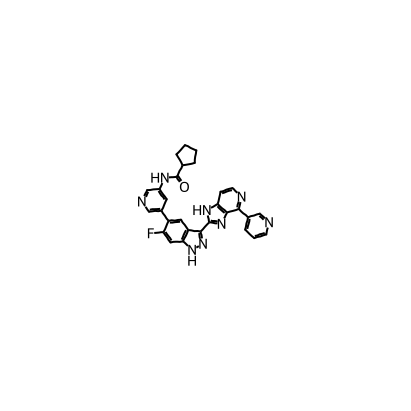 O=C(Nc1cncc(-c2cc3c(-c4nc5c(-c6cccnc6)nccc5[nH]4)n[nH]c3cc2F)c1)C1CCCC1